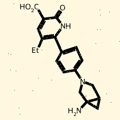 CCc1cc(C(=O)O)c(=O)[nH]c1-c1ccc(N2CC3CC3(N)C2)cc1